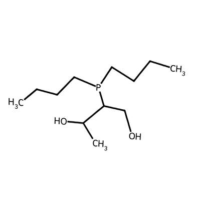 CCCCP(CCCC)C(CO)C(C)O